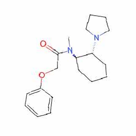 CN(C(=O)COc1ccccc1)[C@@H]1CCCC[C@H]1N1CCCC1